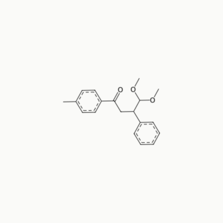 COC(OC)C(CC(=O)c1ccc(C)cc1)c1ccccc1